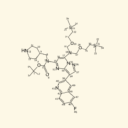 CC(C)(C)OC(=O)N(CC1CCNCC1)c1cc(N(COCC[Si](C)(C)C)COCC[Si](C)(C)C)n2ncc(-c3cnc4ccc(F)cc4c3)c2n1